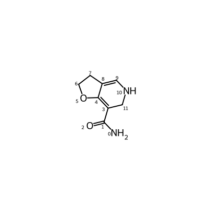 NC(=O)C1=C2OCCC2=CNC1